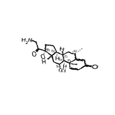 C[C@H]1C[C@@H]2[C@H]([C@@H](O)C[C@@]3(C)[C@H]2CC[C@]3(O)C(=O)CN)[C@@]2(C)C=CC(=O)C=C12